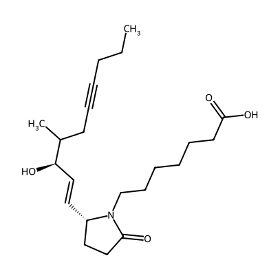 CCCC#CCC(C)[C@H](O)/C=C/[C@H]1CCC(=O)N1CCCCCCC(=O)O